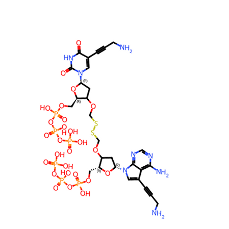 NCC#Cc1cn([C@H]2CC(OCSSCOC3C[C@H](n4cc(C#CCN)c5c(N)ncnc54)O[C@@H]3COP(=O)(O)OP(=O)(O)OP(=O)(O)O)[C@@H](COP(=O)(O)OP(=O)(O)OP(=O)(O)O)O2)c(=O)[nH]c1=O